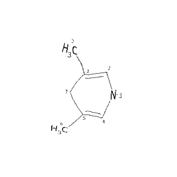 CC1=C[N]C=C(C)C1